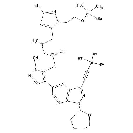 CCc1cc(CN(C)C[C@H](C)Oc2c(-c3ccc4c(c3)c(C#C[Si](C(C)C)(C(C)C)C(C)C)nn4C3CCCCO3)cnn2C)n(CCO[Si](C)(C)C(C)(C)C)n1